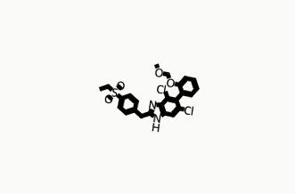 CCS(=O)(=O)c1ccc(Cc2nc3c(Cl)c(-c4ccccc4OCOC)c(Cl)cc3[nH]2)cc1